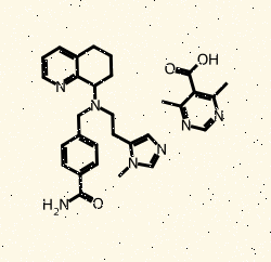 Cc1ncnc(C)c1C(=O)O.Cn1cncc1CCN(Cc1ccc(C(N)=O)cc1)C1CCCc2cccnc21